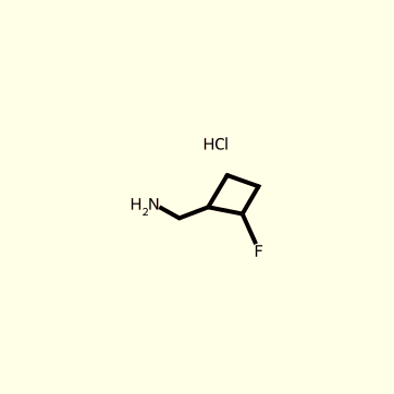 Cl.NCC1CCC1F